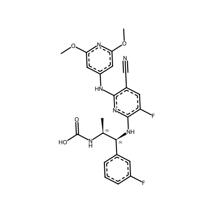 COc1cc(Nc2nc(N[C@@H](c3cccc(F)c3)[C@H](C)NC(=O)O)c(F)cc2C#N)cc(OC)n1